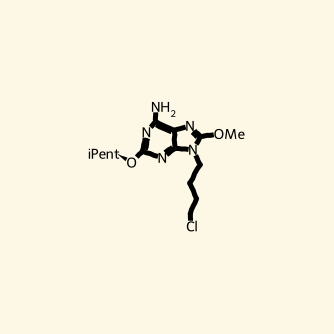 CCC[C@H](C)Oc1nc(N)c2nc(OC)n(CCCCCl)c2n1